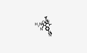 CC(C)c1nn(C2CC2)c2c1C(c1ccc(-n3ccnc3)cc1)C(C#N)=C(N)O2